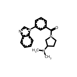 CN(C)C1CCN(C(=O)c2cccc(-n3cnc4ccccc43)c2)C1